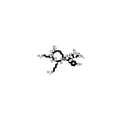 CC(C)C[C@H](NC(=O)[C@H](Cc1ccc(O)cc1)NC(=O)[C@@H]1C/C=C/C[C@H](N)C(=O)N[C@@H](CCCCN)C(=O)N[C@@H](CCCCCN)C(=O)N1)C(=O)O